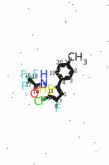 Cc1ccc(C2=CC(F)=C(Cl)[SH]2NC(=O)C(F)(F)F)cc1